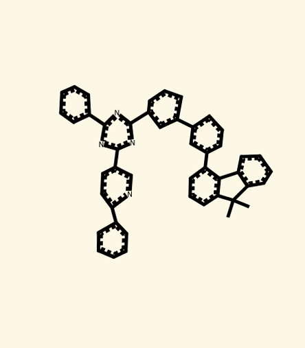 CC1(C)c2ccccc2-c2c(-c3cccc(-c4cccc(-c5nc(-c6ccccc6)nc(-c6ccc(-c7ccccc7)nc6)n5)c4)c3)cccc21